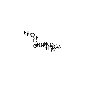 CCOc1cccc(-c2ccc(C(=O)N3CCN(c4ccc(C(=O)NS(=O)(=O)CC56CC7CC(CC(C7)C5)C6)nn4)CC3)cc2F)c1